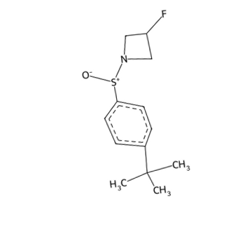 CC(C)(C)c1ccc([S+]([O-])N2CC(F)C2)cc1